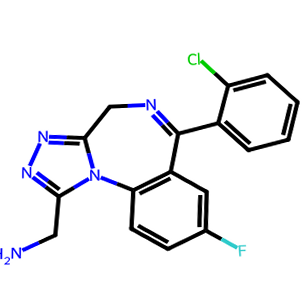 NCc1nnc2n1-c1ccc(F)cc1C(c1ccccc1Cl)=NC2